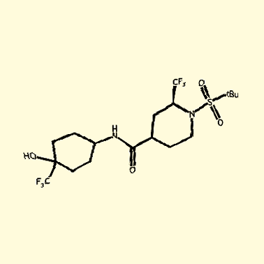 CC(C)(C)S(=O)(=O)N1CCC(C(=O)NC2CCC(O)(C(F)(F)F)CC2)C[C@H]1C(F)(F)F